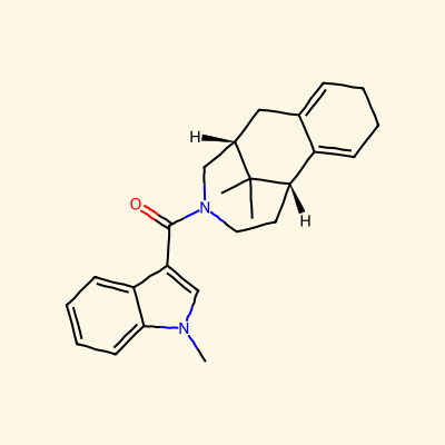 Cn1cc(C(=O)N2CC[C@H]3C4=CCCC=C4C[C@@H](C2)C3(C)C)c2ccccc21